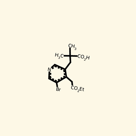 CCOC(=O)Cc1c(Br)cncc1CC(C)(C)C(=O)O